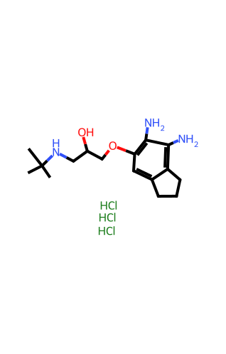 CC(C)(C)NCC(O)COc1cc2c(c(N)c1N)CCC2.Cl.Cl.Cl